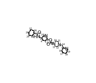 O=C(Nc1ccc(OC(=O)N2CCN(Cc3ccccn3)CC2)nc1)c1ccccc1